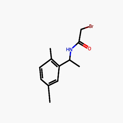 Cc1ccc(C)c(C(C)NC(=O)CBr)c1